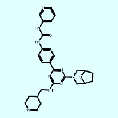 O=C(Nc1ccc(-c2nc(NCC3CCNCC3)nc(N3CC4CCC(C3)O4)n2)cc1)Nc1cccnc1